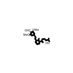 C=C(/C=C\C=C(/C)CO)c1cccc(/C=C/c2cc(OC)c(C=O)c(OC)c2)c1C